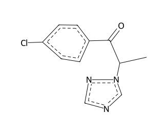 CC(C(=O)c1ccc(Cl)cc1)n1cncn1